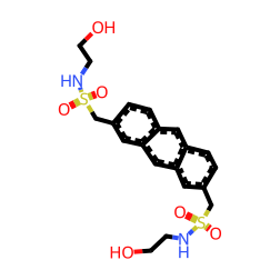 O=S(=O)(Cc1ccc2cc3ccc(CS(=O)(=O)NCCO)cc3cc2c1)NCCO